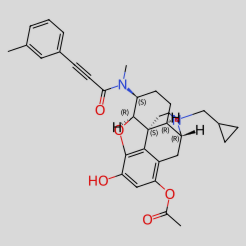 CC(=O)Oc1cc(O)c2c3c1C[C@@H]1[C@@H]4CC[C@H](N(C)C(=O)C#Cc5cccc(C)c5)[C@H](O2)[C@]34CCN1CC1CC1